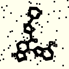 Cc1cccn2nc([C@@H]3c4nc[nH]c4CCN3C(=O)c3cnc(-c4cnccn4)o3)cc12